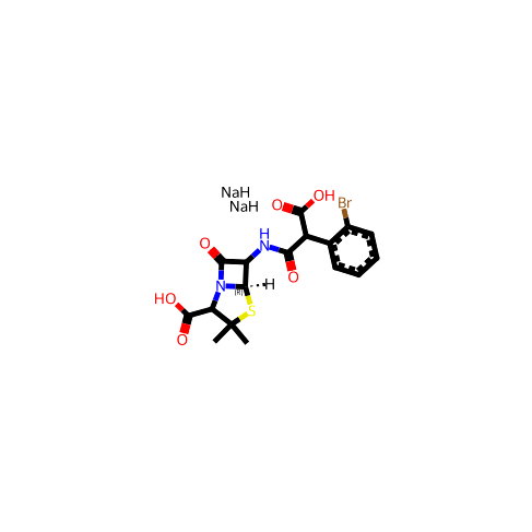 CC1(C)S[C@@H]2C(NC(=O)C(C(=O)O)c3ccccc3Br)C(=O)N2C1C(=O)O.[NaH].[NaH]